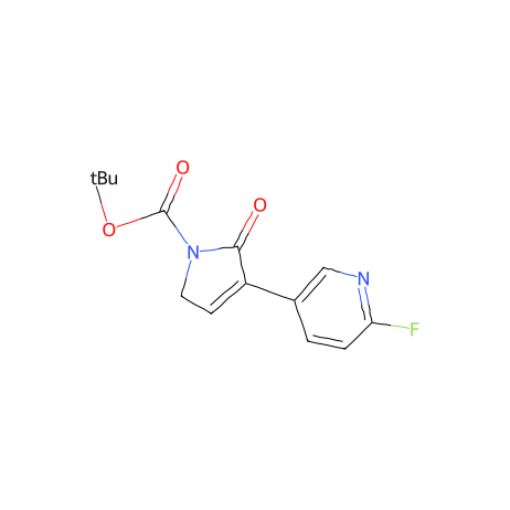 CC(C)(C)OC(=O)N1CC=C(c2ccc(F)nc2)C1=O